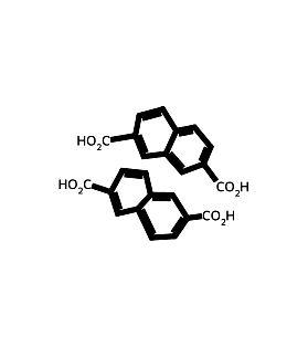 O=C(O)c1ccc2cc(C(=O)O)ccc2c1.O=C(O)c1ccc2ccc(C(=O)O)cc2c1